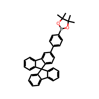 CC1(C)OB(c2ccc(-c3ccc4c(c3)-c3ccccc3C43c4ccccc4-c4ccccc43)cc2)OC1(C)C